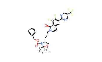 CC1(C)OC[C@@H](CCCn2ccc3cc(-c4ncc(C(F)(F)F)cn4)c(F)c(F)c3c2=O)N1C(=O)OCc1ccccc1